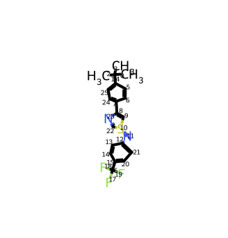 CC(C)(C)c1ccc(C2=CS(=Nc3ccc(C(F)(F)F)cc3)C=N2)cc1